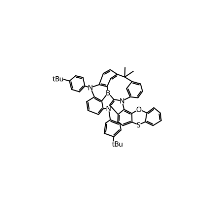 CC(C)(C)c1ccc(N2c3ccc4cc3B3c5c2cccc5N(c2ccc(C(C)(C)C)cc2)c2c3n(c3c5c(ccc23)Sc2ccccc2O5)-c2cccc(c2)C4(C)C)cc1